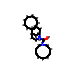 O=C(N1CCCCCCCCC1)N1CCC2CC1CC1=C2CCCCCCC1